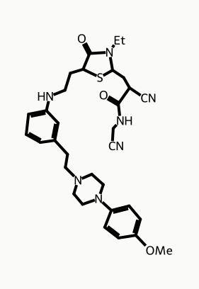 CCN1C(=O)C(CCNc2cccc(CCN3CCN(c4ccc(OC)cc4)CC3)c2)SC1CC(C#N)C(=O)NCC#N